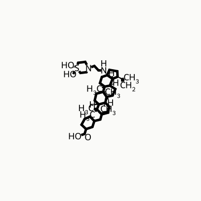 C=C(C)[C@@H]1CC[C@]2(NCCN3CCS(O)(O)CC3)CC[C@]3(C)[C@H](CC[C@@H]4[C@@]5(C)CC=C(CC6CCCC(C(=O)O)C6)C(C)(C)[C@@H]5CC[C@]43C)[C@@H]12